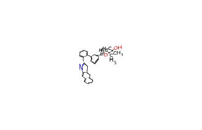 CC(C)(O)C(C)(C)OBc1cccc(-c2ccccc2C2=Nc3cc4ccccc4cc3C2)c1